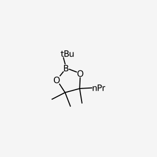 CCCC1(C)OB(C(C)(C)C)OC1(C)C